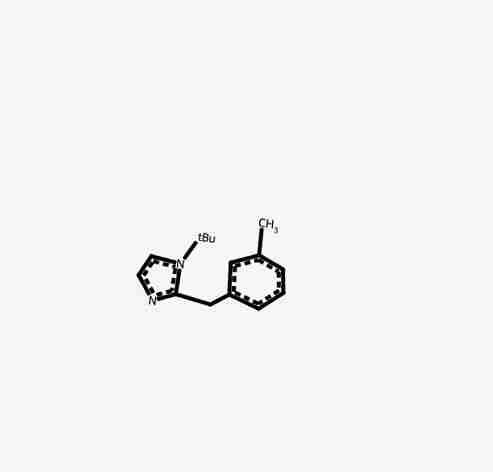 Cc1cccc(Cc2nccn2C(C)(C)C)c1